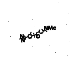 C=C(/C=C\C(C)=C(/C)NC)CC(=O)C(C)(C)c1ccc(-c2cnc(C)nc2)cc1C